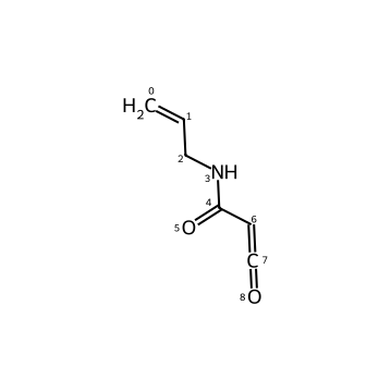 C=CCNC(=O)C=C=O